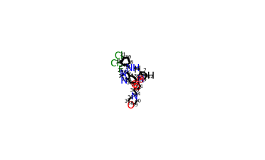 C=CC(=O)N1C[C@H]2C[C@@H](C1)C2Oc1cc2c(Nc3ccc(Cl)c(Cl)c3F)ncnc2cc1OCCN1CCOCC1